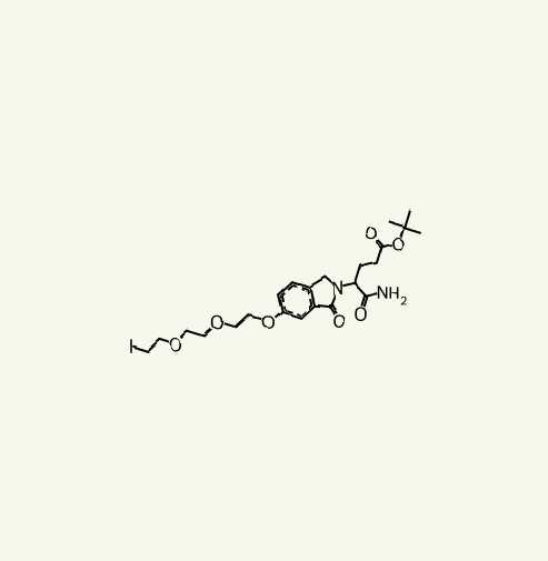 CC(C)(C)OC(=O)CCC(C(N)=O)N1Cc2ccc(OCCOCCOCCI)cc2C1=O